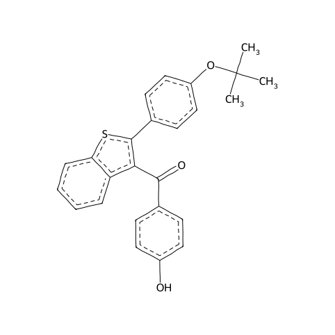 CC(C)(C)Oc1ccc(-c2sc3ccccc3c2C(=O)c2ccc(O)cc2)cc1